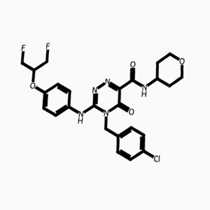 O=C(NC1CCOCC1)c1nnc(Nc2ccc(OC(CF)CF)cc2)n(Cc2ccc(Cl)cc2)c1=O